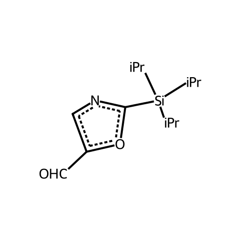 CC(C)[Si](c1ncc(C=O)o1)(C(C)C)C(C)C